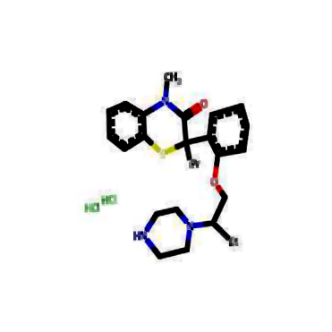 CCC(COc1ccccc1C1(C(C)C)Sc2ccccc2N(C)C1=O)N1CCNCC1.Cl.Cl